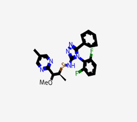 COC(c1ncc(C)cn1)[C@H](C)SNc1nnc(-c2ccccc2)n1-c1c(F)cccc1F